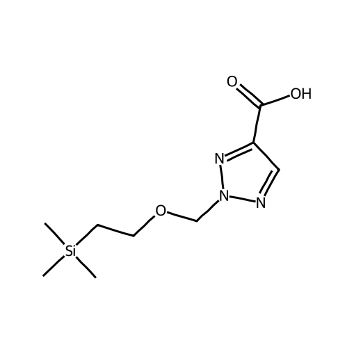 C[Si](C)(C)CCOCn1ncc(C(=O)O)n1